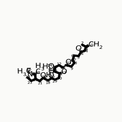 C=C1COC(CCC2CCC([C@H]3CC(O)[C@H]4OC(CC(O)CC5CCN(C)[C@H]5C)CCC4O3)O2)C1